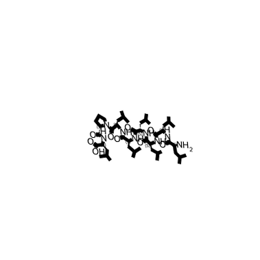 CC(C)C[C@H](NC(=O)[C@@H]1CCCN1C(=O)[C@H](CC(C)C)NC(=O)[C@H](CC(C)C)NC(=O)[C@H](CC(C)C)NC(=O)[C@H](CC(C)C)NC(=O)[C@H](CC(C)C)NC(=O)[C@@H](N)CC(C)C)C(=O)O